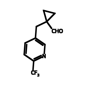 O=CC1(Cc2ccc(C(F)(F)F)nc2)CC1